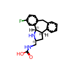 O=C(O)NC[C@@H]1C[C@@H]2c3ccccc3Cc3ccc(F)cc3[C@H]2N1